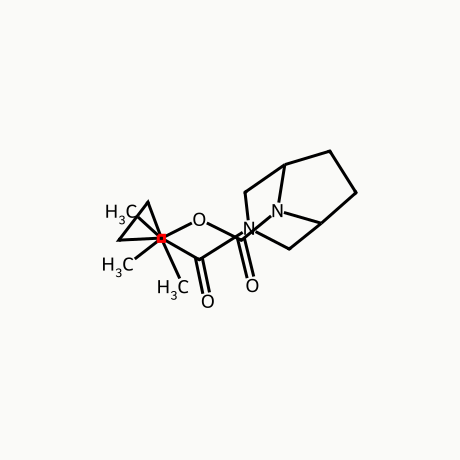 CC(C)(C)OC(=O)N1C2CCC1CN(C(=O)C1CC1)C2